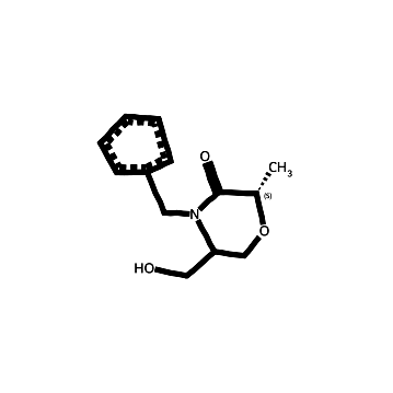 C[C@@H]1OCC(CO)N(Cc2ccccc2)C1=O